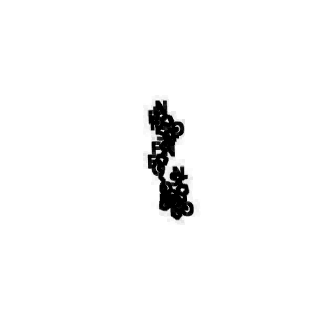 Cc1ncsc1-c1ccc(CNC(=O)C2CCCN2C(=O)C2CCCN2C(=O)COCCCCOc2ccc(-c3ncc(N4C(=S)N(c5ccc(C#N)c(C(F)(F)F)c5F)C(=O)C4(C)C)cc3F)cc2F)cc1